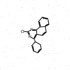 Clc1nc(C2C=CC=CC2)c2ccc3ccccc3c2n1